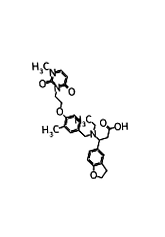 CCN(Cc1ccc(OCCn2c(=O)ccn(C)c2=O)c(C)c1)C(CC(=O)O)c1ccc2c(c1)CCO2